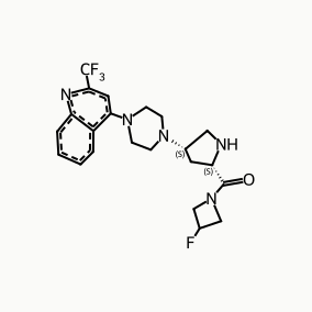 O=C([C@@H]1C[C@H](N2CCN(c3cc(C(F)(F)F)nc4ccccc34)CC2)CN1)N1CC(F)C1